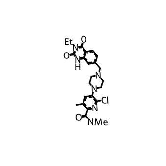 CCn1c(=O)[nH]c2cc(CN3CCN(c4cc(C)c(C(=O)NC)nc4Cl)CC3)ccc2c1=O